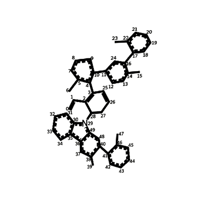 C=CC1=C(c2c(C)cccc2-c2ccc(C)c(-c3ccccc3C)c2)C=CCC1n1c2ccccc2c2cc(C)c(-c3ccccc3C)cc21